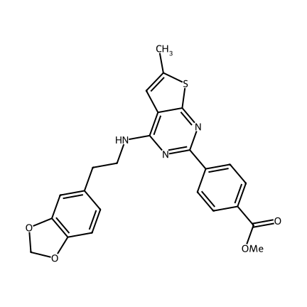 COC(=O)c1ccc(-c2nc(NCCc3ccc4c(c3)OCO4)c3cc(C)sc3n2)cc1